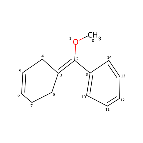 COC(=C1CC=CCC1)c1ccccc1